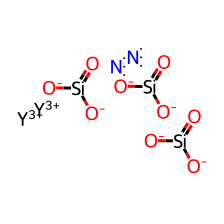 O=[Si]([O-])[O-].O=[Si]([O-])[O-].O=[Si]([O-])[O-].[N].[N].[Y+3].[Y+3]